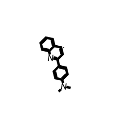 CN(C)c1ccc(-c2c[c]c3ccccc3n2)cc1